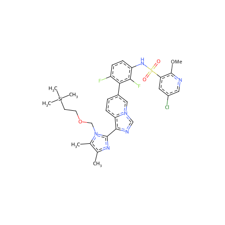 COc1ncc(Cl)cc1S(=O)(=O)Nc1ccc(F)c(-c2ccc3c(-c4nc(C)c(C)n4COCC[Si](C)(C)C)ncn3c2)c1F